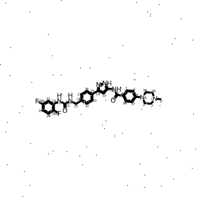 CN1CCN(c2ccc(C(=O)Nc3cc(-c4ccc(CNC(=O)Nc5cc(F)ccc5F)cc4)n[nH]3)cc2)CC1